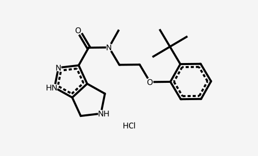 CN(CCOc1ccccc1C(C)(C)C)C(=O)c1n[nH]c2c1CNC2.Cl